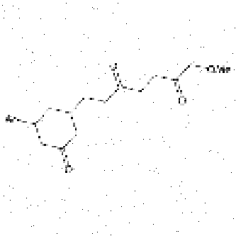 COCC(=O)CCC(=O)CCC1CC(=O)CC(C(C)=O)C1